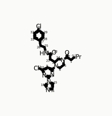 CC(C)CC(=O)N1CCN(c2cc(Cl)nc(-n3ccnc3)n2)C(CC(=O)NCCc2ccc(Cl)cc2)C1